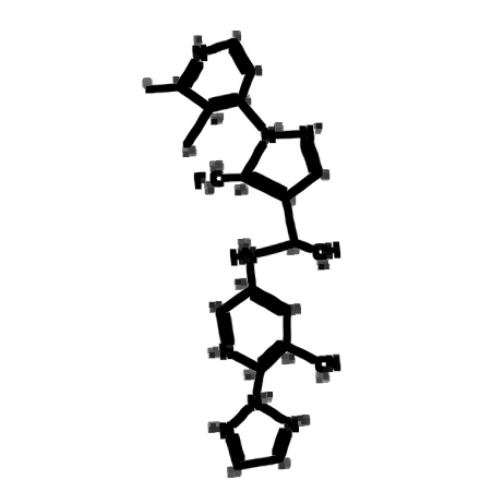 Cc1nccc(-n2ncc(C(O)Nc3cnc(-n4nccn4)c(C#N)c3)c2C(F)(F)F)c1C